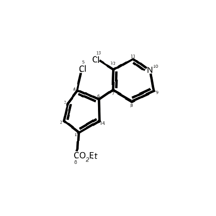 CCOC(=O)c1ccc(Cl)c(-c2ccncc2Cl)c1